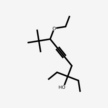 CCOC(C#CCC(O)(CC)CC)C(C)(C)C